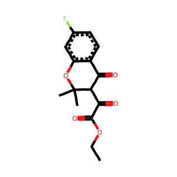 CCOC(=O)C(=O)C1C(=O)c2ccc(F)cc2OC1(C)C